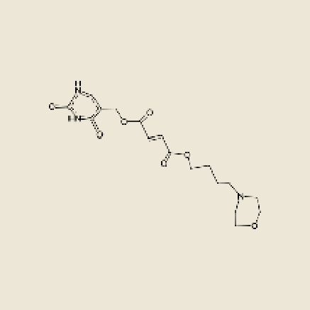 O=C(/C=C/C(=O)OCc1c[nH]c(=O)[nH]c1=O)OCCCCN1CCOCC1